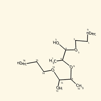 CCCCCCCCCCCCOC(O)C(C)OC(C)C(O)OCCCCCCCCCCCC